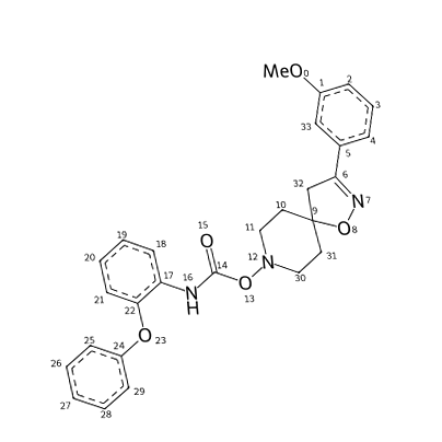 COc1cccc(C2=NOC3(CCN(OC(=O)Nc4ccccc4Oc4ccccc4)CC3)C2)c1